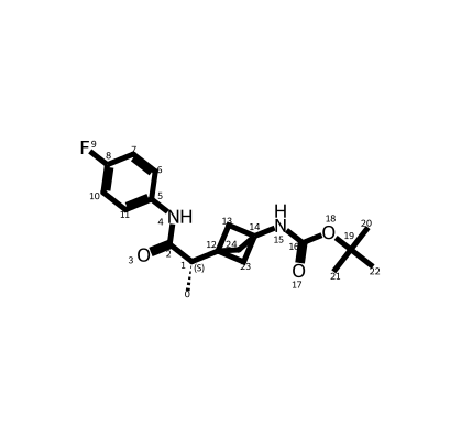 C[C@H](C(=O)Nc1ccc(F)cc1)C12CC(NC(=O)OC(C)(C)C)(C1)C2